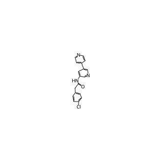 O=C(Cc1ccc(Cl)cc1)Nc1cncc(-c2ccncc2)c1